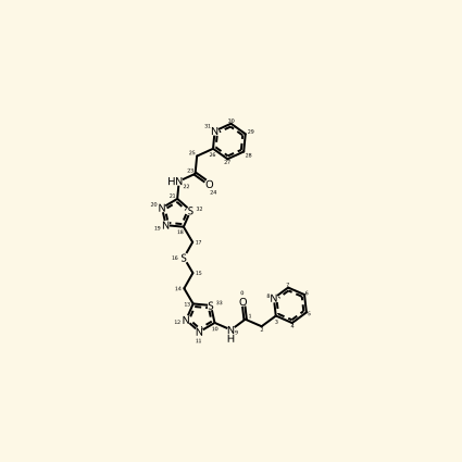 O=C(Cc1ccccn1)Nc1nnc(CCSCc2nnc(NC(=O)Cc3ccccn3)s2)s1